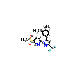 Cc1ccc(-c2cc(C(F)F)nn2-c2ccc(S(C)(=O)=O)cn2)cc1C